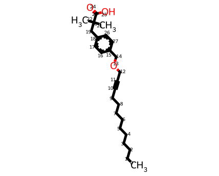 CCCCCCCCCCC#CCOCc1ccc(CC(C)(C)C(=O)O)cc1